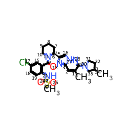 Cc1cc2nc([C@@H]3CCCCN3C(=O)c3cc(Cl)ccc3NS(C)(=O)=O)cn2nc1N1CCC(C)C1